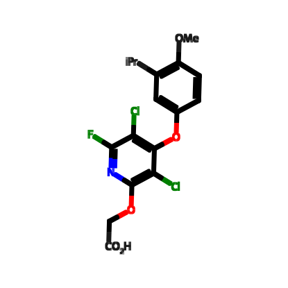 COc1ccc(Oc2c(Cl)c(F)nc(OCC(=O)O)c2Cl)cc1C(C)C